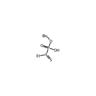 CCC(C)OP(=O)(O)S(=S)CC